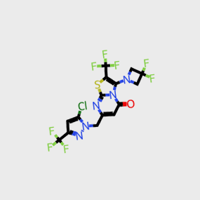 O=c1cc(Cn2nc(C(F)(F)F)cc2Cl)nc2sc(C(F)(F)F)c(N3CC(F)(F)C3)n12